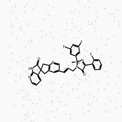 C[C@@]1(c2cc(F)cc(F)c2)N=C(c2ccccc2F)C(=O)N1C/C=C/c1cnc2c(c1)CC1(C2)C(=O)Nc2ncccc21